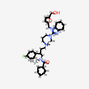 CN(CC(CCN1CCCN(c2nc3ccccc3n2Cc2ccc(CO)o2)CC1)c1ccc(F)cc1)C(=O)c1ccccc1